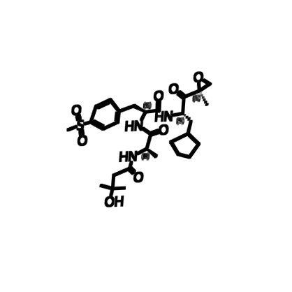 C[C@@H](NC(=O)CC(C)(C)O)C(=O)N[C@@H](Cc1ccc(S(C)(=O)=O)cc1)C(=O)N[C@@H](CC1CCCC1)C(=O)[C@]1(C)CO1